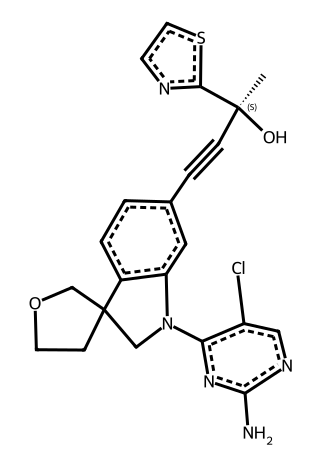 C[C@](O)(C#Cc1ccc2c(c1)N(c1nc(N)ncc1Cl)CC21CCOC1)c1nccs1